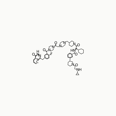 O=C(N[C@@H](C(=O)N1CCC(CN2CCN(CC(=O)N3CCN(C(=O)c4cc(Cc5n[nH]c(=O)c6ccccc56)ccc4F)CC3)CC2)CC1)C1CCCCC1)c1cccc(C2CCCN(C(=O)CNC3CC3)C2)c1